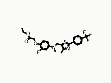 CCOC(=O)COc1ccc(N(C)Cc2sc(-c3ccc(C(F)(F)F)cc3)nc2C)cc1F